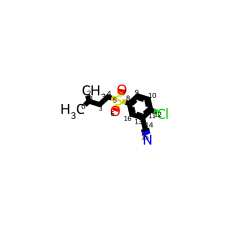 CC(C)CCS(=O)(=O)c1ccc(Cl)c(C#N)c1